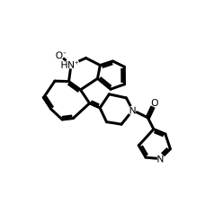 O=C(c1ccncc1)N1CCC(=C2/C=C\C=C/CC3=C2c2ccccc2C[NH+]3[O-])CC1